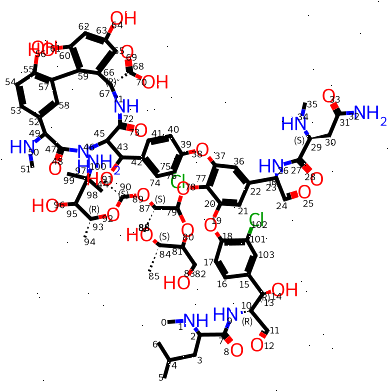 CNC(CC(C)C)C(=O)N[C@@H](C=O)[C@H](O)c1ccc(Oc2cc([C@H](C=O)NC(=O)[C@H](CC(N)=O)NC)cc(Oc3ccc(C(O)C4NC(=O)C(NC)c5ccc(O)c(c5)-c5c(O)cc(O)cc5[C@H](C(=O)O)NC4=O)cc3Cl)c2OC(OC(CO)[C@H](C)O)[C@H](C)O[C@@H](C)O[C@H](C)C(O)C(C)(C)N)c(Cl)c1